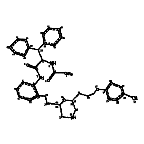 COC(=O)NC(C(=O)Nc1ccccc1CC[C@@H]1CNC[C@@H](CCOc2ccc(C#N)cc2)O1)C(c1ccccc1)c1ccccc1